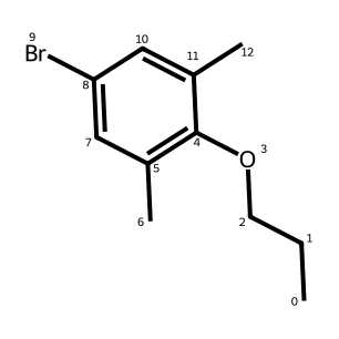 CCCOc1c(C)cc(Br)cc1C